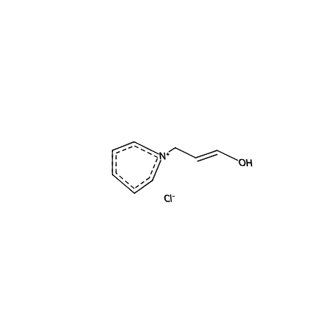 OC=CC[n+]1ccccc1.[Cl-]